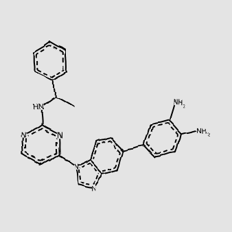 CC(Nc1nccc(-n2cnc3cc(-c4ccc(N)c(N)c4)ccc32)n1)c1ccccc1